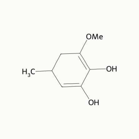 COC1=C(O)C(O)=CC(C)C1